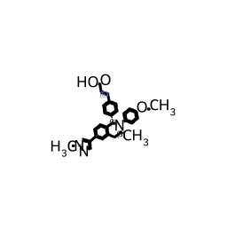 CCOc1ccc(N2[C@@H](c3ccc(/C=C/C(=O)O)cc3)c3ccc(-c4cnn(C)c4)cc3C[C@@H]2C)cc1